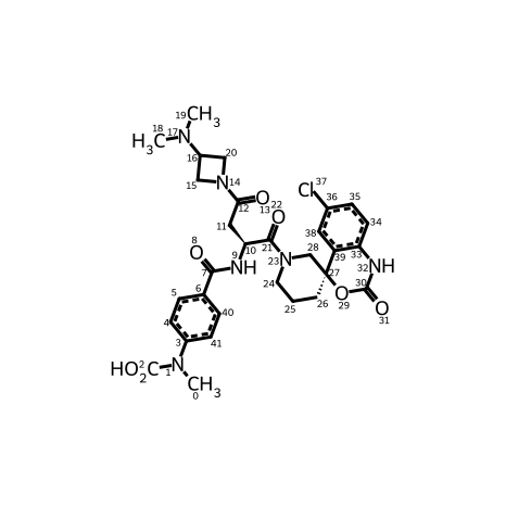 CN(C(=O)O)c1ccc(C(=O)N[C@@H](CC(=O)N2CC(N(C)C)C2)C(=O)N2CCC[C@@]3(C2)OC(=O)Nc2ccc(Cl)cc23)cc1